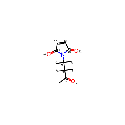 CC(=O)C(C)(C)C(C)(C)N1C(=O)C=CC1=O